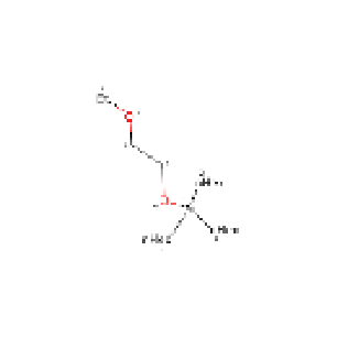 CCCCCC[Si](CCCCCC)(CCCCCC)OCCOCC